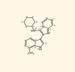 Cc1cccc2c(-c3nc4cnccn4c3NC3CCCCC3)c[nH]c12